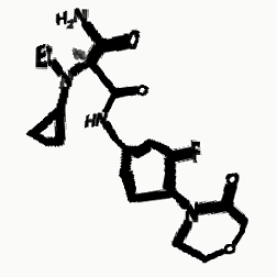 CCN(C1CC1)[C@@H](C(N)=O)C(=O)Nc1ccc(N2CCOCC2=O)c(F)c1